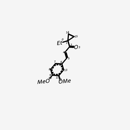 CCC1(C(=O)/C=C/c2ccc(OC)c(OC)c2)CC1